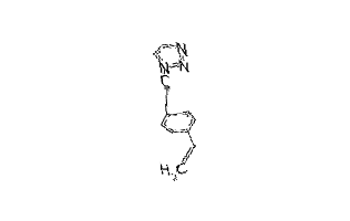 C=Cc1ccc(Cn2ccnn2)cc1